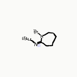 CC(C)N1CCCC/C1=N/C(C)(C)C